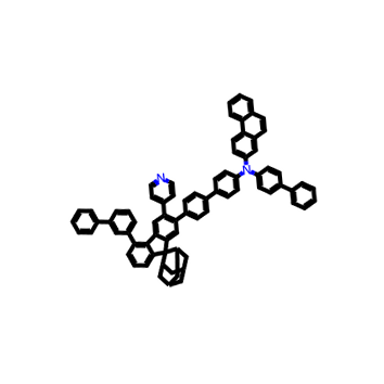 c1ccc(-c2ccc(N(c3ccc(-c4ccc(-c5cc6c(cc5-c5ccncc5)-c5c(-c7cccc(-c8ccccc8)c7)cccc5C65C6CC7CC(C6)CC5C7)cc4)cc3)c3ccc4c(ccc5ccccc54)c3)cc2)cc1